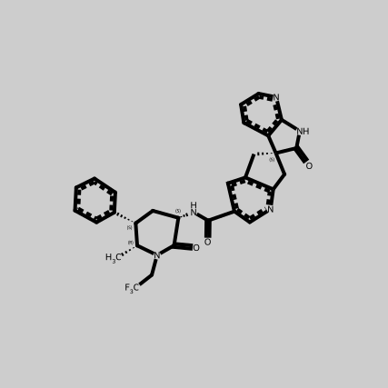 C[C@@H]1[C@H](c2ccccc2)C[C@H](NC(=O)c2cnc3c(c2)C[C@@]2(C3)C(=O)Nc3ncccc32)C(=O)N1CC(F)(F)F